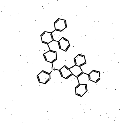 c1ccc(-c2cccc(-c3ccc(N(c4ccccc4)c4ccc5c(-c6ccccc6)c(-c6ccccc6)c6ccccc6c5c4)cc3)c2-c2ccccc2)cc1